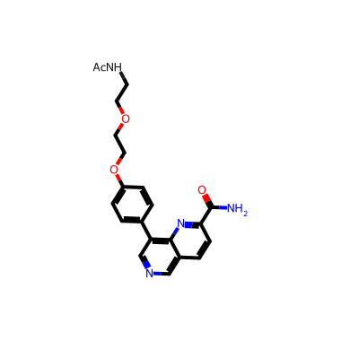 CC(=O)NCCOCCOc1ccc(-c2cncc3ccc(C(N)=O)nc23)cc1